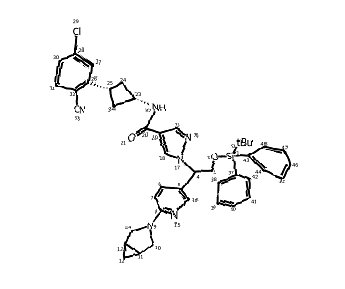 CC(C)(C)[Si](OCC(c1ccc(N2CC3CC3C2)nc1)n1cc(C(=O)N[C@H]2C[C@@H](c3cc(Cl)ccc3C#N)C2)cn1)(c1ccccc1)c1ccccc1